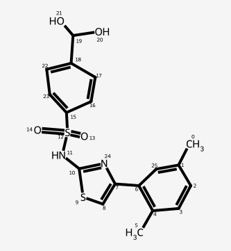 Cc1ccc(C)c(-c2csc(NS(=O)(=O)c3ccc(C(O)O)cc3)n2)c1